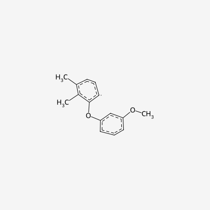 COc1cccc(Oc2[c]ccc(C)c2C)c1